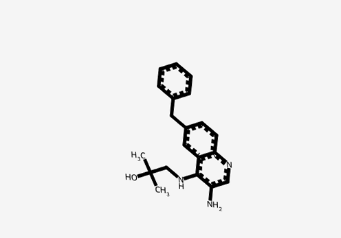 CC(C)(O)CNc1c(N)cnc2ccc(Cc3ccccc3)cc12